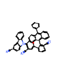 N#Cc1ccc2c(c1)c1ccccc1n2-c1ccc(-c2cccc(C#N)c2-c2c3ccccc3c(-c3ccccc3)c3ccccc23)cc1C#N